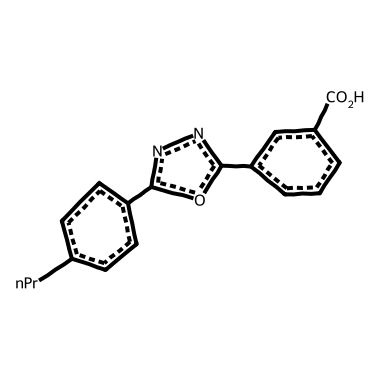 CCCc1ccc(-c2nnc(-c3cccc(C(=O)O)c3)o2)cc1